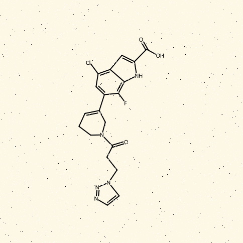 O=C(O)c1cc2c(Cl)cc(C3=CCCN(C(=O)CCn4ccnn4)C3)c(F)c2[nH]1